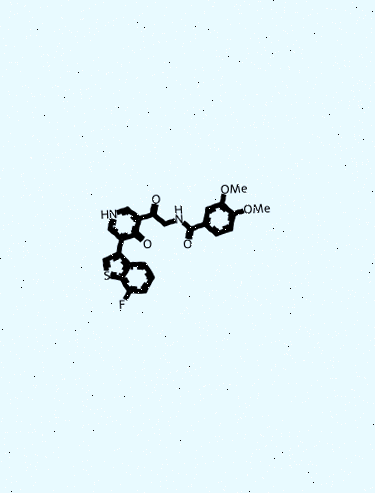 COc1ccc(C(=O)NCC(=O)c2c[nH]cc(-c3csc4c(F)cccc34)c2=O)cc1OC